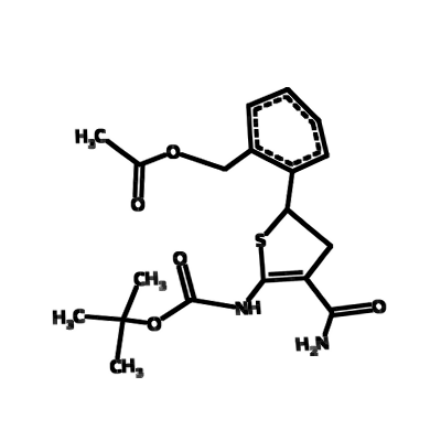 CC(=O)OCc1ccccc1C1CC(C(N)=O)=C(NC(=O)OC(C)(C)C)S1